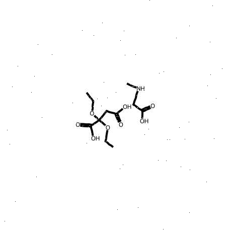 CCOC(CC(=O)O)(OCC)C(=O)O.CNCC(=O)O